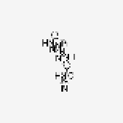 CC(C)n1c(Nc2ccccc2)nc2cnc(Nc3ccc(C(=O)NN4CCN(C)CC4)cc3)nc21